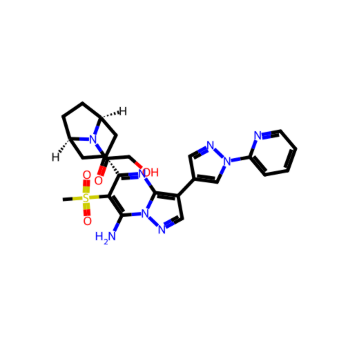 CS(=O)(=O)c1c([C@@H]2C[C@H]3CC[C@@H](C2)N3C(=O)CO)nc2c(-c3cnn(-c4ccccn4)c3)cnn2c1N